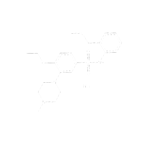 CCOc1ccc(S(=O)(=O)Nc2ccccc2COC)cc1N1CCN(C)CC1.Cl